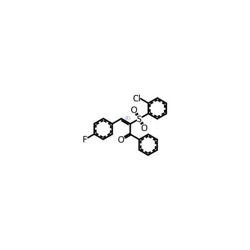 O=C(/C(=C\c1ccc(F)cc1)S(=O)(=O)c1ccccc1Cl)c1ccccc1